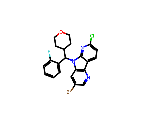 Fc1ccccc1C(C1CCOCC1)n1c2cc(Br)cnc2c2ccc(Cl)nc21